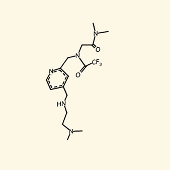 CN(C)CCNCc1ccnc(CN(CC(=O)N(C)C)C(=O)C(F)(F)F)c1